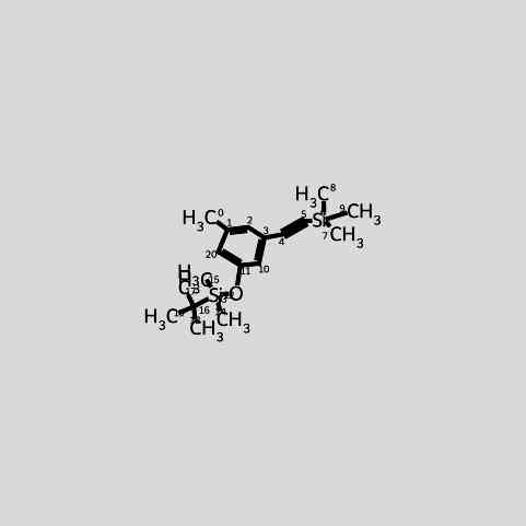 Cc1cc(C#C[Si](C)(C)C)cc(O[Si](C)(C)C(C)(C)C)c1